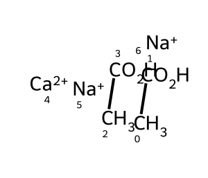 CC(=O)O.CC(=O)O.[Ca+2].[Na+].[Na+]